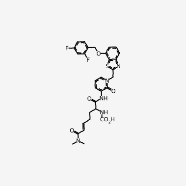 CN(C)C(=O)/C=C/CCC(NC(=O)O)C(=O)Nc1cccn(Cc2nc3cccc(OCc4ccc(F)cc4F)c3s2)c1=O